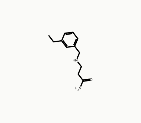 CCc1cccc(CNCCC(N)=O)c1